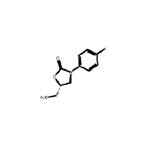 CC(=O)OC[C@H]1CN(c2ccc(I)cc2)C(=O)O1